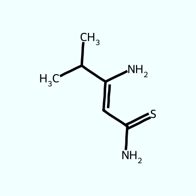 CC(C)C(N)=CC(N)=S